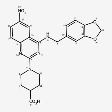 O=C(O)C1CCN(c2nc(NCc3ccc4c(c3)OCO4)c3cc([N+](=O)[O-])ccc3n2)CC1